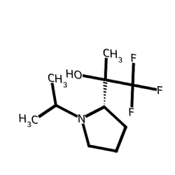 CC(C)N1CCC[C@H]1C(C)(O)C(F)(F)F